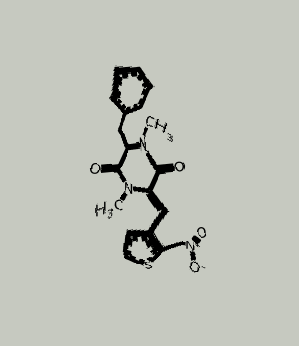 CN1C(=O)C(Cc2ccccc2)N(C)C(=O)C1=Cc1ccsc1[N+](=O)[O-]